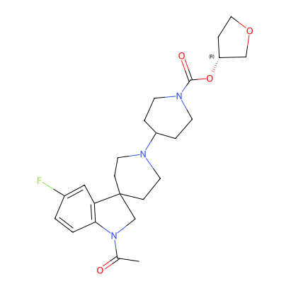 CC(=O)N1CC2(CCN(C3CCN(C(=O)O[C@@H]4CCOC4)CC3)CC2)c2cc(F)ccc21